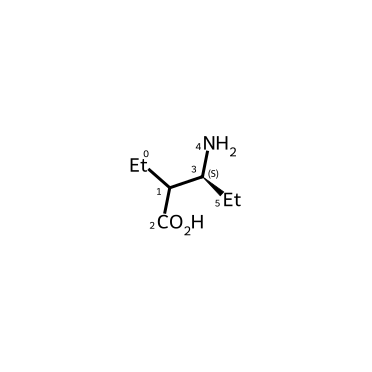 CCC(C(=O)O)[C@@H](N)CC